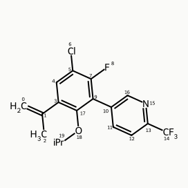 C=C(C)c1cc(Cl)c(F)c(-c2ccc(C(F)(F)F)nc2)c1OC(C)C